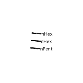 CCCCCC.CCCCCCC.CCCCCCC